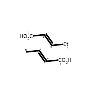 CC=CC(=O)O.CCC=CC(=O)O